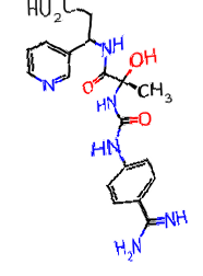 C[C@@](O)(NC(=O)Nc1ccc(C(=N)N)cc1)C(=O)NC(CC(=O)O)c1cccnc1